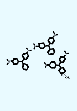 C.C.CN(C)C1=CCC(C(c2ccccc2)c2ccc(N(C)C)cc2)C=C1.CN(C)c1ccc(C(c2ccccc2)C2C=CC(=[N+](C)C)C=C2)cc1.CN(C)c1ccc(C(c2ccccc2)C2C=CC(=[N+](C)C)C=C2)cc1